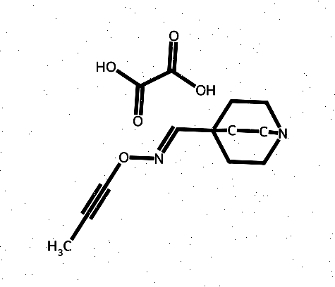 CC#CON=CC12CCN(CC1)CC2.O=C(O)C(=O)O